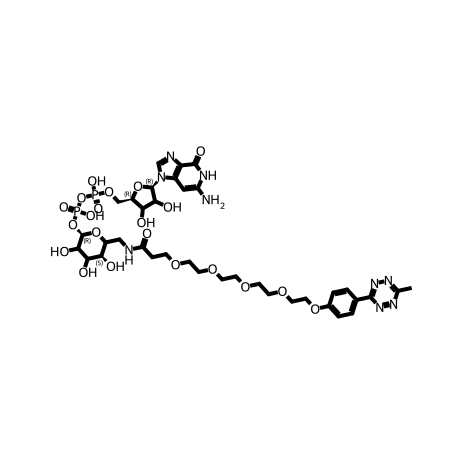 Cc1nnc(-c2ccc(OCCOCCOCCOCCOCCC(=O)NCC3O[C@H](OP(=O)(O)OP(=O)(O)OC[C@H]4O[C@@H](n5cnc6c(=O)[nH]c(N)cc65)C(O)C4O)C(O)C(O)[C@@H]3O)cc2)nn1